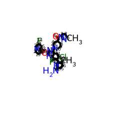 Cc1ccn(C(=O)C2CCCN(c3nc(OC[C@@]45CCCN4C[C@H](F)C5)nc4c(F)c(-c5nc(N)ccc5C)c(Cl)cc34)CC2)n1